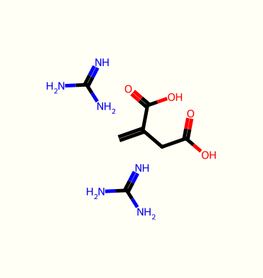 C=C(CC(=O)O)C(=O)O.N=C(N)N.N=C(N)N